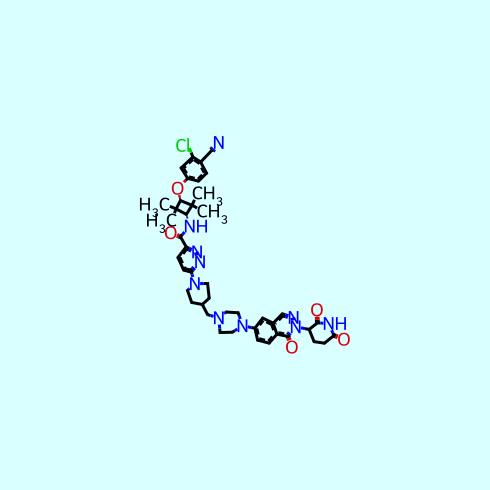 CC1(C)[C@H](NC(=O)c2ccc(N3CCC(CN4CCN(c5ccc6c(=O)n(C7CCC(=O)NC7=O)ncc6c5)CC4)CC3)nn2)C(C)(C)[C@H]1Oc1ccc(C#N)c(Cl)c1